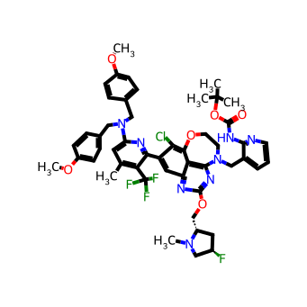 COc1ccc(CN(Cc2ccc(OC)cc2)c2cc(C)c(C(F)(F)F)c(-c3cc4nc(OC[C@@H]5C[C@@H](F)CN5C)nc5c4c(c3Cl)OCCN5Cc3cccnc3NC(=O)OC(C)(C)C)n2)cc1